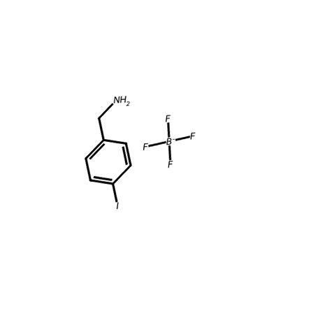 F[B-](F)(F)F.NCc1ccc(I)cc1